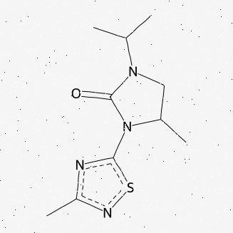 Cc1nsc(N2C(=O)N(C(C)C)CC2C)n1